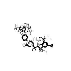 CN(C)c1cc(C2CC2)cc2c1nc(C(=O)N1CCN([C@H]3CC[C@H](O[Si](C)(C)C(C)(C)C)CC3)C(=O)C1)n2C